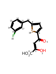 O=C(O)C(O)=CC(=O)c1ccc(Cc2cccc(F)c2)s1